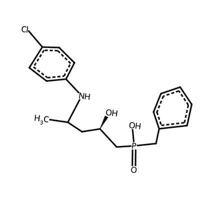 CC(C[C@@H](O)CP(=O)(O)Cc1ccccc1)Nc1ccc(Cl)cc1